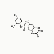 Cc1cc(Cl)ccc1NS(=O)(=O)c1cc2[nH]c(=O)c(=O)[nH]c2cc1C